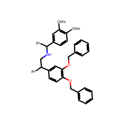 COc1ccc(C(NCC(c2ccc(OCc3ccccc3)c(OCc3ccccc3)c2)C(C)C)C(C)C)cc1OC